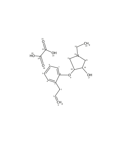 C=CCc1ccccc1OC1CN(CC)CC1O.O=C(O)C(=O)O